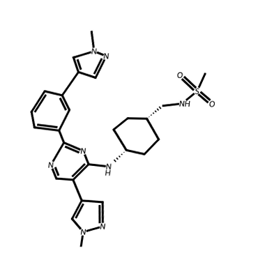 Cn1cc(-c2cccc(-c3ncc(-c4cnn(C)c4)c(N[C@H]4CC[C@@H](CNS(C)(=O)=O)CC4)n3)c2)cn1